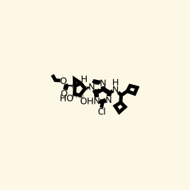 CCOC(=O)[C@@]12C[C@@H]1[C@@H](n1cnc3c(NC(C4CCC4)C4CCC4)nc(Cl)nc31)[C@H](O)[C@@H]2O